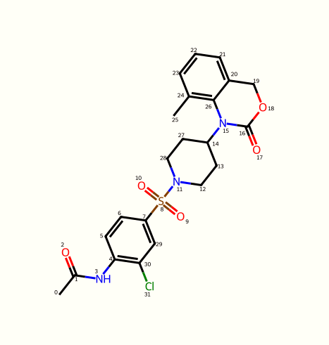 CC(=O)Nc1ccc(S(=O)(=O)N2CCC(N3C(=O)OCc4cccc(C)c43)CC2)cc1Cl